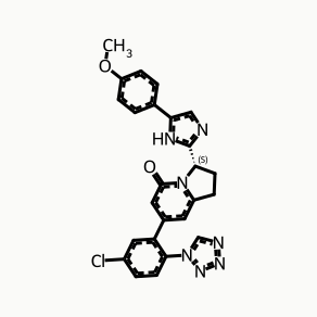 COc1ccc(-c2cnc([C@@H]3CCc4cc(-c5cc(Cl)ccc5-n5cnnn5)cc(=O)n43)[nH]2)cc1